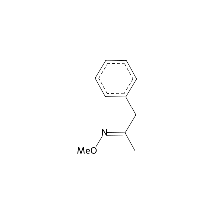 CON=C(C)Cc1ccccc1